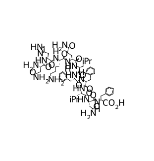 CC(C)C[C@H](NC(=O)[C@H](Cc1ccccc1)NC(=O)[C@H](Cc1ccccc1)NC(=O)[C@H](CC(C)C)NC(=O)[C@H](CCC(N)=O)NC(=O)[C@H](CCCCN)NC(=O)[C@H](Cc1c[nH]cn1)NC(=O)[C@@H](N)CC(N)=O)C(=O)N[C@@H](CC(N)=O)C(=O)N[C@@H](Cc1ccccc1)C(=O)O